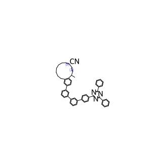 CC1/C=C\C(C#N)=C/CCCCCCc2cc(-c3cccc(-c4cccc(-c5ccc(-c6nc(-c7ccccc7)nc(-c7ccccc7)n6)cc5)c4)c3)ccc21